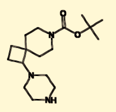 CC(C)(C)OC(=O)N1CCC2(CCC2N2CCNCC2)CC1